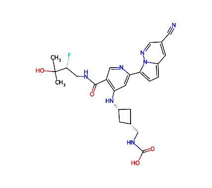 CC(C)(O)[C@H](F)CNC(=O)c1cnc(-c2ccc3cc(C#N)cnn23)cc1N[C@H]1C[C@@H](CNC(=O)O)C1